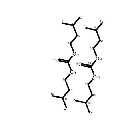 CC(C)CCOC(=O)OCCC(C)C.CC(C)CCOC(=O)OCCC(C)C